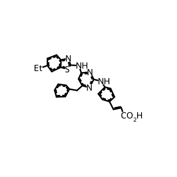 CCc1ccc2nc(Nc3cc(Cc4ccccc4)nc(Nc4ccc(/C=C/C(=O)O)cc4)n3)sc2c1